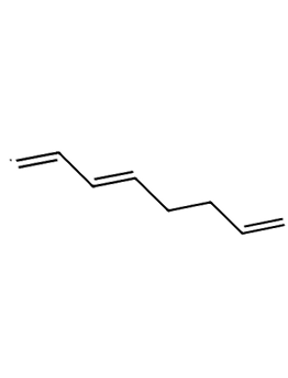 [CH]=CC=CCCC=C